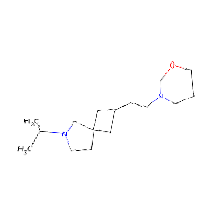 CC(C)N1CCC2(CC(CCN3CCCOC3)C2)C1